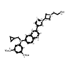 COc1cc(OC)cc(N(CC2CC2)c2ccc3ncc(-c4cnn(C5CN(CCO)C5)c4)nc3c2)c1